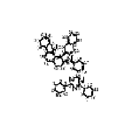 c1ccc(-c2nc(-c3ccccc3)nc(-c3cccc(-n4c5cc6ccccc6cc5c5c6c(ccc7c8ccccc8oc76)ccc54)c3)n2)cc1